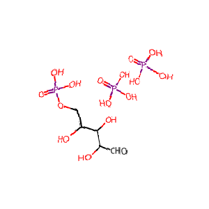 O=CC(O)C(O)C(O)COP(=O)(O)O.O=P(O)(O)O.O=P(O)(O)O